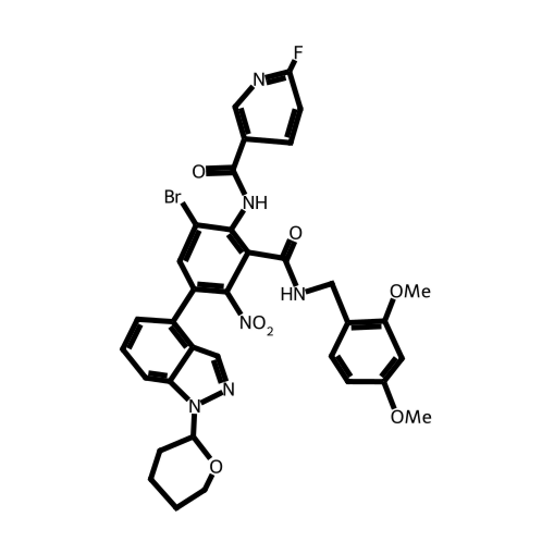 COc1ccc(CNC(=O)c2c(NC(=O)c3ccc(F)nc3)c(Br)cc(-c3cccc4c3cnn4C3CCCCO3)c2[N+](=O)[O-])c(OC)c1